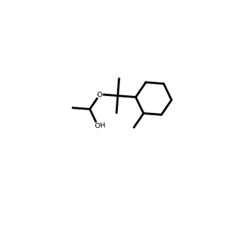 CC(O)OC(C)(C)C1CCCCC1C